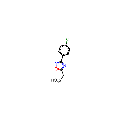 O=S(=O)(O)Cc1nc(-c2ccc(Cl)cc2)no1